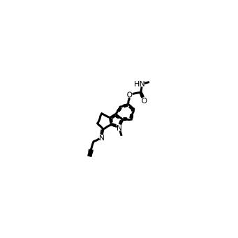 C#CC/N=C1\CCc2c1n(C)c1ccc(OC(=O)NC)cc21